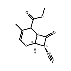 [C-]#[N+][C@@H]1C(=O)N2C(C(=O)OC)C(C)=CS[C@H]12